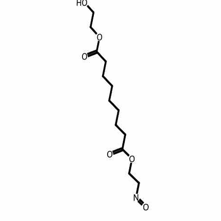 O=NCCOC(=O)CCCCCCCC(=O)OCCO